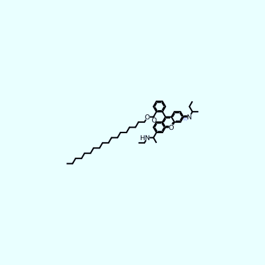 CCCCCCCCCCCCCCCCCCOC(=O)c1ccccc1-c1c2cc/c(=N\C(C)CC)cc-2oc2cc(C(C)NCC)ccc12